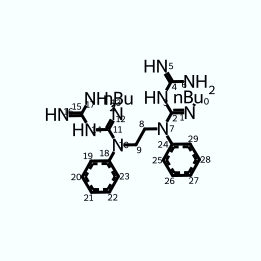 CCCCN=C(NC(=N)N)N(CCN(C(=NCCCC)NC(=N)N)c1ccccc1)c1ccccc1